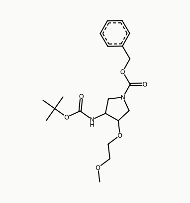 COCCOC1CN(C(=O)OCc2ccccc2)CC1NC(=O)OC(C)(C)C